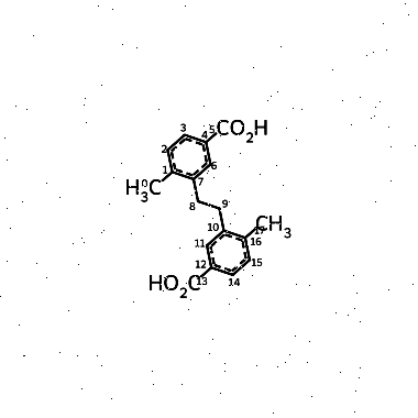 Cc1ccc(C(=O)O)cc1CCc1cc(C(=O)O)ccc1C